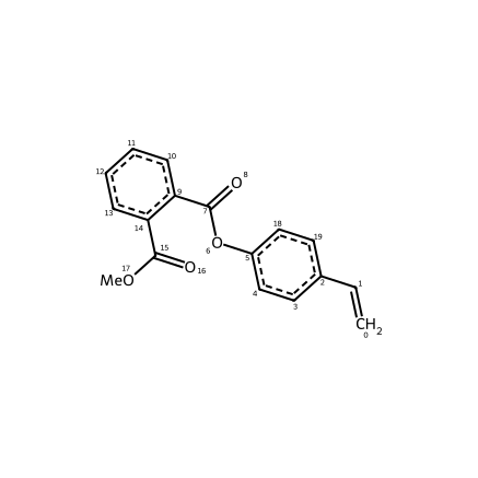 C=Cc1ccc(OC(=O)c2ccccc2C(=O)OC)cc1